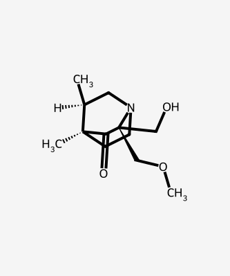 COC[C@@]1(CO)C(=O)[C@@]2(C)CCN1C[C@@H]2C